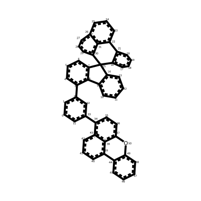 c1cc(-c2cccc3c2-c2ccccc2C32c3ccccc3-c3cccc4cccc2c34)cc(-c2ccc3c4c(cccc24)-c2ccccc2O3)c1